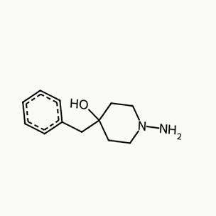 NN1CCC(O)(Cc2ccccc2)CC1